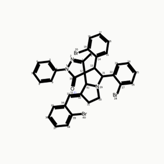 CC1=NN(c2ccccc2)C(=O)C12C(c1ccccc1Br)C(c1ccccc1Br)N1CC/C(=C\c3ccccc3Br)C12